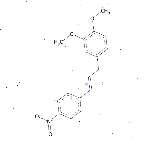 COc1ccc(C/C=C/c2ccc([N+](=O)[O-])cc2)cc1OC